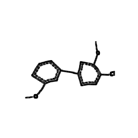 COc1cccc(-c2ccc(Cl)c(OC)c2)c1